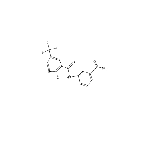 NC(=O)c1cccc(NC(=O)c2cc(C(F)(F)F)cnc2Cl)c1